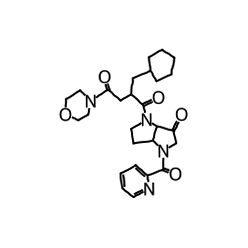 O=C1CN(C(=O)c2ccccn2)C2CCN(C(=O)C(CC(=O)N3CCOCC3)CC3CCCCC3)C12